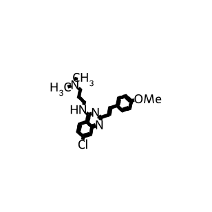 COc1ccc(/C=C/c2nc(NCCCN(C)C)c3ccc(Cl)cc3n2)cc1